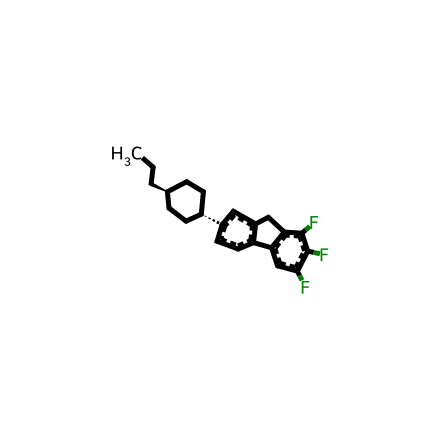 CCC[C@H]1CC[C@H](c2ccc3c(c2)Cc2c-3cc(F)c(F)c2F)CC1